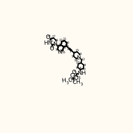 CC(C)(C)OC(=O)NC1CCC(CN2CCC(C#Cc3cccc4c(N5CCC(=O)NC5=O)cncc34)CC2)CC1